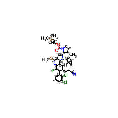 CSc1nc2c(F)c(-c3cccc(Cl)c3Cl)c(CCC#N)cc2c2c1cc([C@H]1CCCN1C(=O)OCCS(C)(C)C)n2[C@@H]1[C@@H](C)C2C[C@@H]21